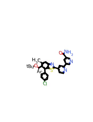 CC(=O)[C@@H](OC(C)(C)C)c1c(C)cc2nc(-c3ccnc(-c4cncc(C(N)=O)c4)c3)sc2c1-c1ccc(Cl)cc1